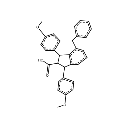 COc1ccc(C2c3cccc(Cc4ccccc4)c3C(c3ccc(OC)cc3)C2C(=O)O)cc1